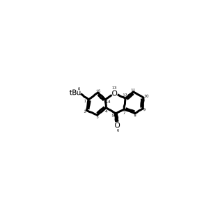 CC(C)(C)c1ccc2c(=O)c3ccccc3oc2c1